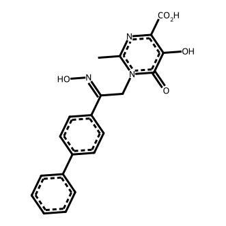 Cc1nc(C(=O)O)c(O)c(=O)n1CC(=NO)c1ccc(-c2ccccc2)cc1